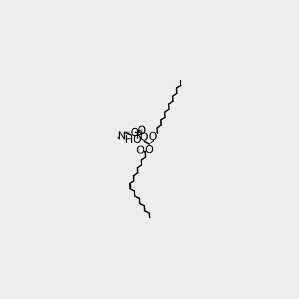 CCCCCCCC/C=C\CCCCCCCC(=O)O[C@H](COCCCCCCCCCCCCCC)COP(=O)(O)OCC[N+](C)(C)C